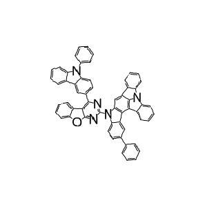 c1ccc(-c2ccc3c(c2)c2c4c5ccccc5n5c6ccccc6c(cc2n3-c2nc(-c3ccc6c(c3)c3ccccc3n6-c3ccccc3)c3c(n2)oc2ccccc23)c45)cc1